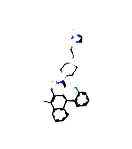 C=C(/N=C\C1=C(C)c2ccccc2C(c2ccccc2Cl)C1)N1CCN(CCn2ccnc2)CC1